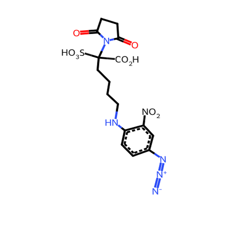 [N-]=[N+]=Nc1ccc(NCCCCC(C(=O)O)(N2C(=O)CCC2=O)S(=O)(=O)O)c([N+](=O)[O-])c1